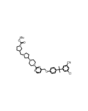 CC(C)(C)OC(=O)N1CCC(CN2CCC(N3CCN(c4nccc(COc5ccc(C(C)(C)c6cc(Cl)cc(C#N)c6)cc5)n4)CC3)C2)C1